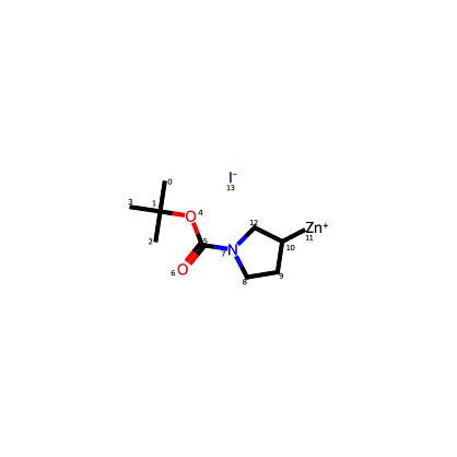 CC(C)(C)OC(=O)N1CC[CH]([Zn+])C1.[I-]